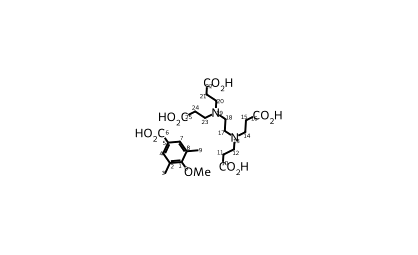 COc1c(C)cc(C(=O)O)cc1C.O=C(O)CCN(CCC(=O)O)CCN(CCC(=O)O)CCC(=O)O